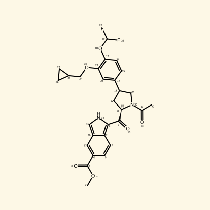 COC(=O)c1ccc2c(C(=O)[C@H]3CC(c4ccc(OC(F)F)c(OCC5CC5)c4)CN3C(C)=O)[nH]cc2c1